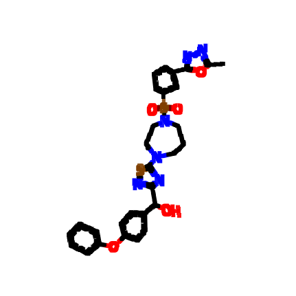 Cc1nnc(-c2cccc(S(=O)(=O)N3CCCN(c4nc(C(O)c5ccc(Oc6ccccc6)cc5)ns4)CC3)c2)o1